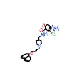 COc1cc(N)c(Cl)cc1C(=O)NCC1CCN(CCCCOc2cccc3ccccc23)CC1